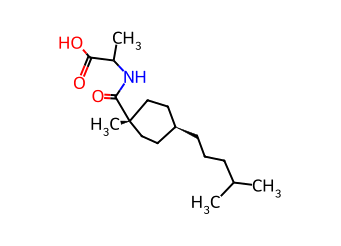 CC(C)CCC[C@H]1CC[C@](C)(C(=O)NC(C)C(=O)O)CC1